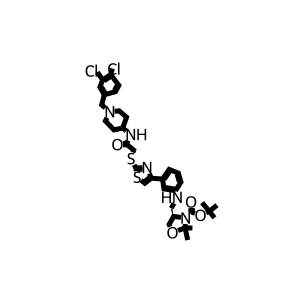 CC(C)(C)OC(=O)N1[C@@H](CNc2cccc(-c3csc(SCC(=O)NC4CCN(Cc5ccc(Cl)c(Cl)c5)CC4)n3)c2)COC1(C)C